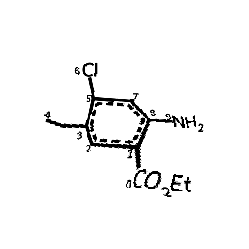 CCOC(=O)c1cc(C)c(Cl)cc1N